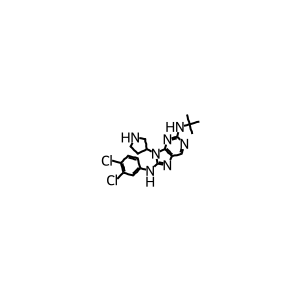 CC(C)(C)Nc1ncc2nc(Nc3ccc(Cl)c(Cl)c3)n(C3CCNC3)c2n1